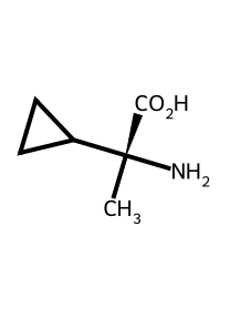 C[C@](N)(C(=O)O)C1CC1